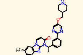 C[C@H](c1cccc(-c2ncc(OCC3CCNCC3)cn2)c1)n1c(=O)ccn2c3cc(C#N)ccc3nc12